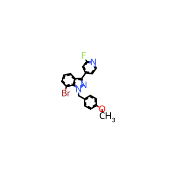 COc1ccc(Cn2nc(-c3ccnc(F)c3)c3cccc(Br)c32)cc1